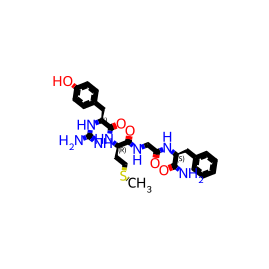 CSCC[C@@H](NC(=O)[C@H](Cc1ccc(O)cc1)NC(=N)N)C(=O)NCC(=O)N[C@@H](Cc1ccccc1)C(N)=O